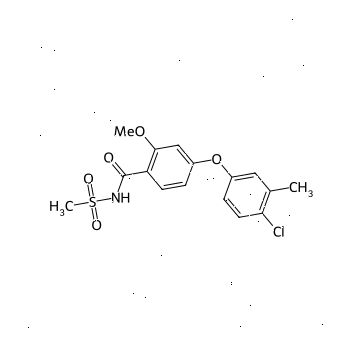 COc1cc(Oc2ccc(Cl)c(C)c2)ccc1C(=O)NS(C)(=O)=O